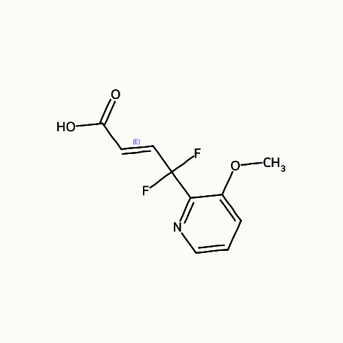 COc1cccnc1C(F)(F)/C=C/C(=O)O